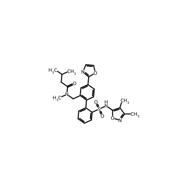 Cc1noc(NS(=O)(=O)c2ccccc2-c2ccc(-c3ncco3)cc2CN(C)C(=O)CC(C)C)c1C